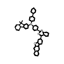 CC1(C)c2cc(N(c3ccc(-c4ccccc4)cc3)c3ccc(-c4nc(-c5ccc6c(c5)oc5cc7ccccc7cc56)c5ccccc5n4)cc3)ccc2C2C=CC=CC21